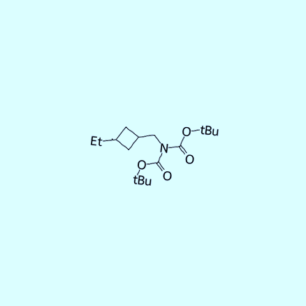 CC[C]1CC(CN(C(=O)OC(C)(C)C)C(=O)OC(C)(C)C)C1